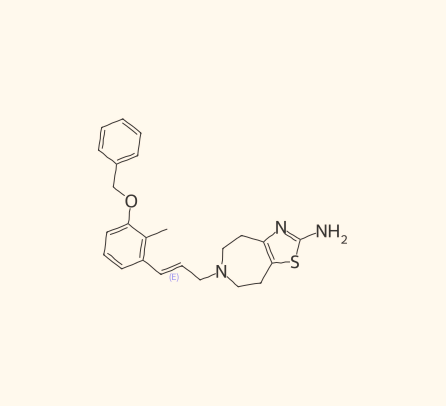 Cc1c(/C=C/CN2CCc3nc(N)sc3CC2)cccc1OCc1ccccc1